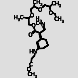 CCOC(C)COC(C)COC(C)COC(=O)C(/C=N\C)=C1\C=C(NCCCOC)CCC1